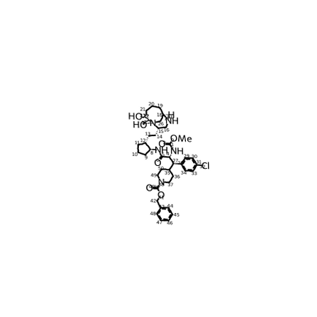 COC(=O)N[C@@H](C(=O)N[C@H]1CCC[C@@H]1CC[C@H]1CN[C@@H]2CCCS(O)(O)N1C2)[C@@H](c1ccc(Cl)cc1)C1CCN(C(=O)OCc2ccccc2)CC1